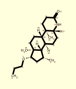 CCCO[C@H]1C[C@@H](C)[C@H]2[C@@H]3CC[C@H]4NC(=O)CC[C@]4(C)[C@H]3CC[C@@]21C